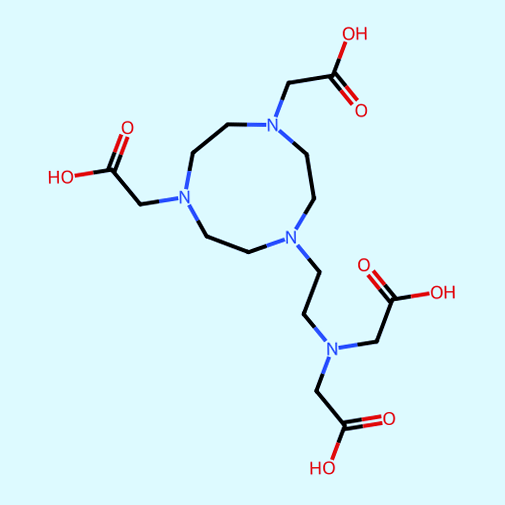 O=C(O)CN1CCN(CCN(CC(=O)O)CC(=O)O)CCN(CC(=O)O)CC1